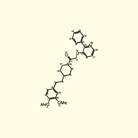 COc1ccc(CCC2CCN(C(=O)COc3cccnc3-c3ccccc3)CC2)cc1OC